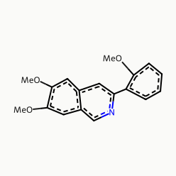 COc1cc2cnc(-c3ccccc3OC)cc2cc1OC